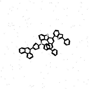 c1ccc(C2=Nc3c(cccc3-c3cc4ccccc4c4c3oc3cccc(N(c5ccc(-c6ccccc6)cc5)c5ccc(-c6cc7ccccc7c7ccccc67)cc5)c34)C2)cc1